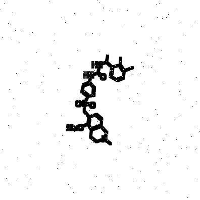 COc1c(CS(=O)(=O)c2ccc(NC(=O)NC(C)c3cccc(C)c3C)cc2)ccc2c1CCN(C)C2